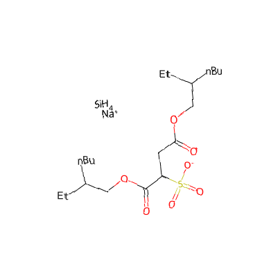 CCCCC(CC)COC(=O)CC(C(=O)OCC(CC)CCCC)S(=O)(=O)[O-].[Na+].[SiH4]